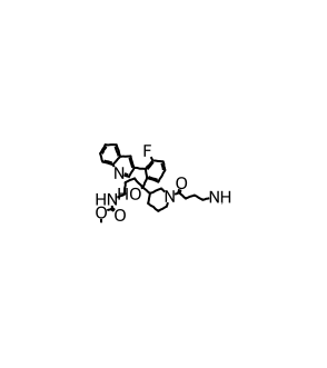 CNCCCC(=O)N1CCCC(C(O)(CCCNC(=O)OC)c2cccc(F)c2-c2cnc3ccccc3c2)C1